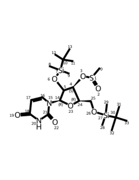 CS(=O)O[C@@H]1C(O[Si](C)(C)C(C)(C)C)[C@H](n2ccc(=O)[nH]c2=O)O[C@@H]1CO[Si](C)(C)C(C)(C)C